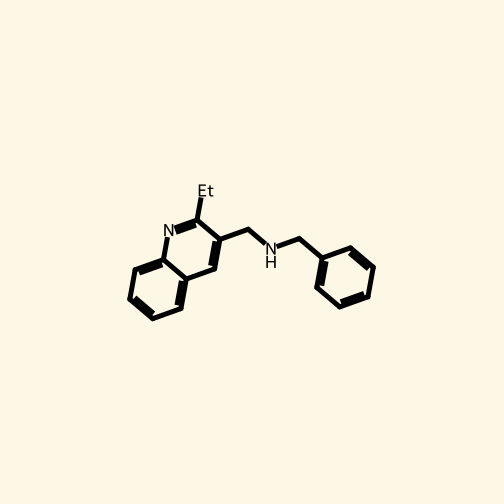 CCc1nc2ccccc2cc1CNCc1ccccc1